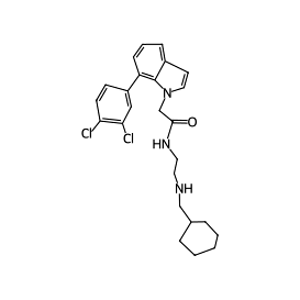 O=C(Cn1ccc2cccc(-c3ccc(Cl)c(Cl)c3)c21)NCCNCC1CCCCC1